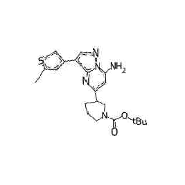 Cc1cc(-c2cnn3c(N)cc(C4CCCN(C(=O)OC(C)(C)C)C4)nc23)cs1